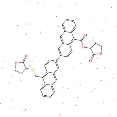 O=C(OC1CCOC1=O)c1c2ccccc2cc2cc(-c3ccc4c(CSC5CCOC5=O)c5ccccc5cc4c3)ccc12